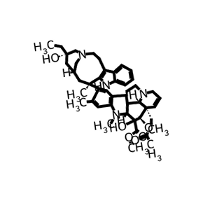 CC[C@]1(O)C[C@@H]2CN(CCc3c([nH]c4ccccc34)[C@@](C)(c3cc4c(cc3C)N(C)[C@H]3C(O)(C(=O)OC)[C@H](OC(C)=O)[C@]5(CC)C=CCN6CC[C@@]3(C4)[C@@H]65)C2)C1